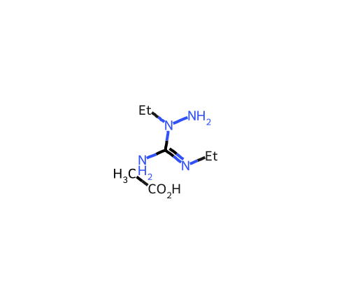 CC(=O)O.CCN=C(N)N(N)CC